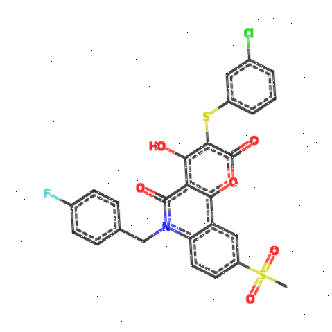 CS(=O)(=O)c1ccc2c(c1)c1oc(=O)c(Sc3cccc(Cl)c3)c(O)c1c(=O)n2Cc1ccc(F)cc1